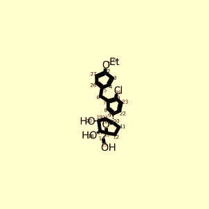 CCOc1ccc(Cc2cc([C@]34CC[C@](CO)(O3)[C@@H](O)[C@H](O)C4)ccc2Cl)cc1